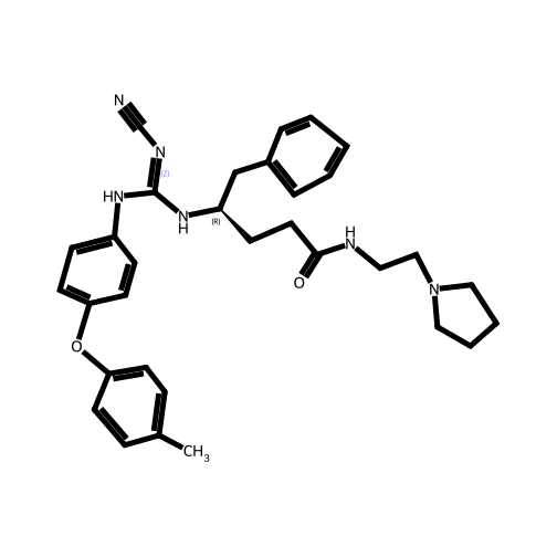 Cc1ccc(Oc2ccc(N/C(=N\C#N)N[C@H](CCC(=O)NCCN3CCCC3)Cc3ccccc3)cc2)cc1